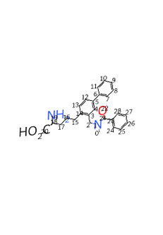 CN(Cc1cc(-c2ccccc2)ccc1CCC[C@H](N)C(=O)O)C(=O)c1ccccc1